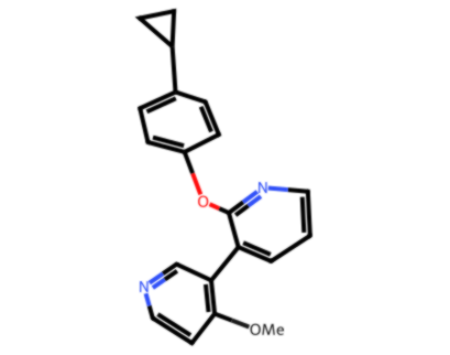 COc1ccncc1-c1cccnc1Oc1ccc(C2CC2)cc1